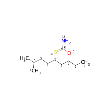 CCC(CCCCC(C)C)OC(N)=S